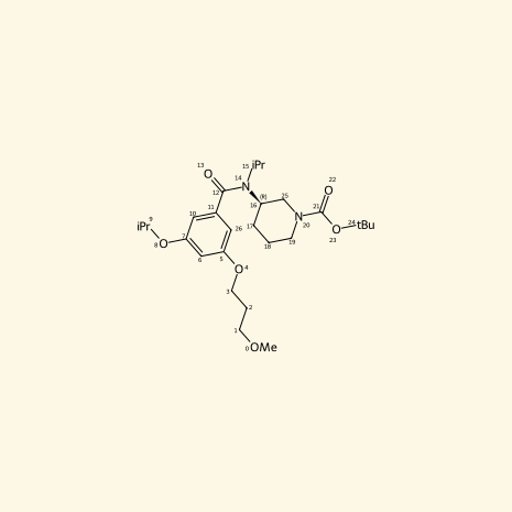 COCCCOc1cc(OC(C)C)cc(C(=O)N(C(C)C)[C@@H]2CCCN(C(=O)OC(C)(C)C)C2)c1